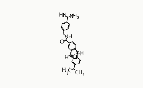 CC(C)c1ccc2c(c1)[C@H]1O[C@@H]2c2ccc(C(=O)NCc3ccc(C(=N)N)cc3)cc21